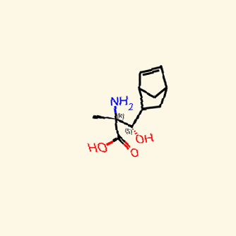 C[C@](N)(C(=O)O)[C@@H](O)C1CC2C=CC1C2